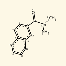 C[C@H](N)C(=O)c1ccc2ccccc2c1